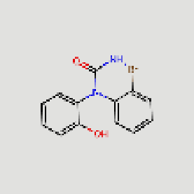 NC(=O)N(c1ccccc1O)c1ccccc1Br